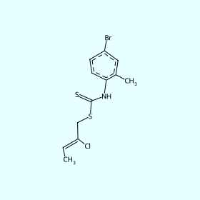 CC=C(Cl)CSC(=S)Nc1ccc(Br)cc1C